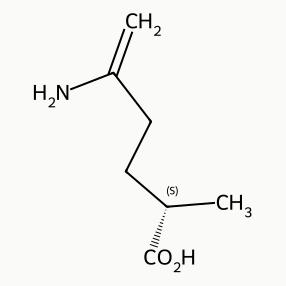 C=C(N)CC[C@H](C)C(=O)O